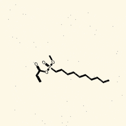 C=CC(=O)OP(=O)(CCCCCCCCCC)OC